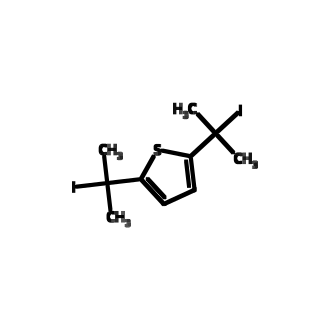 CC(C)(I)c1ccc(C(C)(C)I)s1